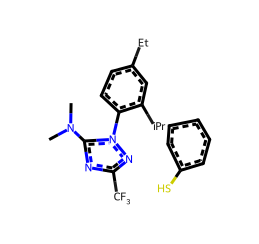 CCc1ccc(-n2nc(C(F)(F)F)nc2N(C)C)c(C(C)C)c1.Sc1ccccc1